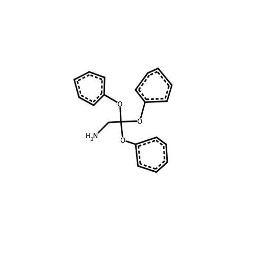 NCC(Oc1ccccc1)(Oc1ccccc1)Oc1ccccc1